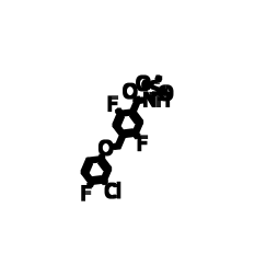 CS(=O)(=O)NC(=O)c1cc(F)c(COc2ccc(F)c(Cl)c2)cc1F